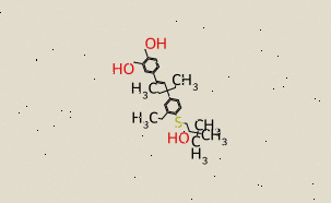 CCc1cc(C(/C=C/c2ccc(CO)c(CO)c2)(CC)CC)ccc1SCC(O)C(C)(C)C